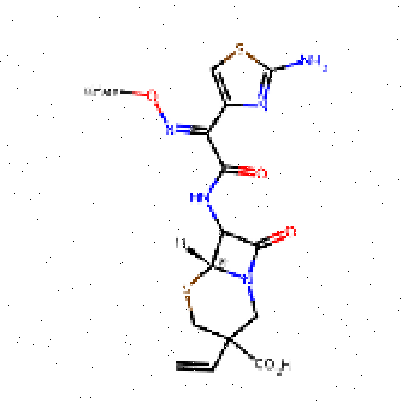 C=CC1(C(=O)O)CS[C@@H]2C(NC(=O)C(=NOCCCCCC)c3csc(N)n3)C(=O)N2C1